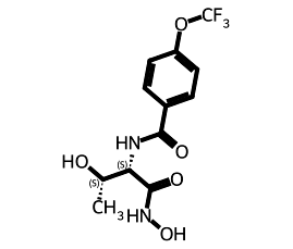 C[C@H](O)[C@H](NC(=O)c1ccc(OC(F)(F)F)cc1)C(=O)NO